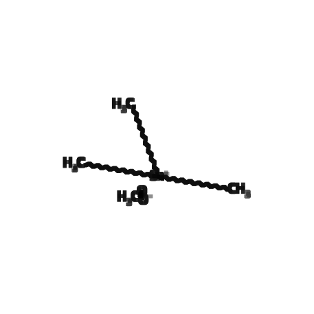 CC(=O)[O-].CCCCCCCCCCCCCCCCC[CH2][Sn+]([CH2]CCCCCCCCCCCCCCCCC)[CH2]CCCCCCCCCCCCCCCCC